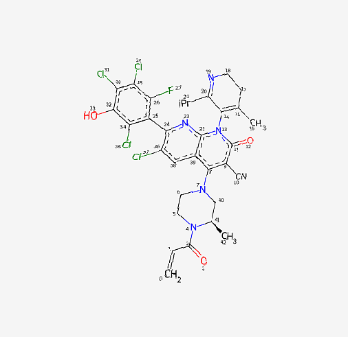 C=CC(=O)N1CCN(c2c(C#N)c(=O)n(C3=C(C)CCN=C3C(C)C)c3nc(-c4c(F)c(Cl)c(Cl)c(O)c4Cl)c(Cl)cc23)C[C@H]1C